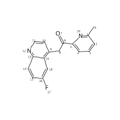 Cc1cccc(C(=O)Cc2ccnc3ccc(F)cc23)n1